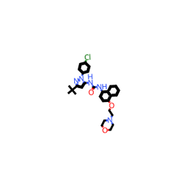 CC(C)(C)c1cc(NC(=O)Nc2ccc(OCCN3CCOCC3)c3ccccc23)n(-c2ccc(Cl)cc2)n1